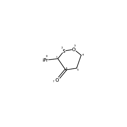 CC(C)C1SOCCC1=O